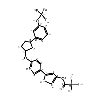 O=C(Oc1cc(-c2ccc(OC3CCC(c4cccc(OC(F)(F)F)c4)C3)nc2)on1)C(F)(F)F